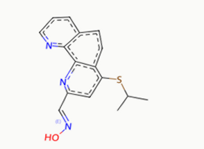 CC(C)Sc1cc(/C=N/O)nc2c1ccc1cccnc12